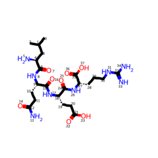 CC(C)C[C@H](N)C(=O)N[C@@H](CCC(N)=O)C(=O)N[C@@H](CCC(=O)O)C(=O)N[C@@H](CCCNC(=N)N)C(=O)O